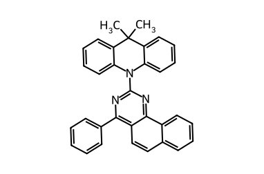 CC1(C)c2ccccc2N(c2nc(-c3ccccc3)c3ccc4ccccc4c3n2)c2ccccc21